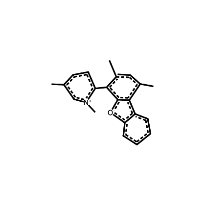 Cc1ccc(-c2c(C)cc(C)c3c2oc2ccccc23)[n+](C)c1